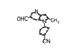 Cc1cc2ncc(C=O)cc2n1-c1ccc(C#N)cc1